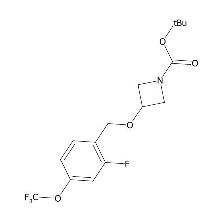 CC(C)(C)OC(=O)N1CC(OCc2ccc(OC(F)(F)F)cc2F)C1